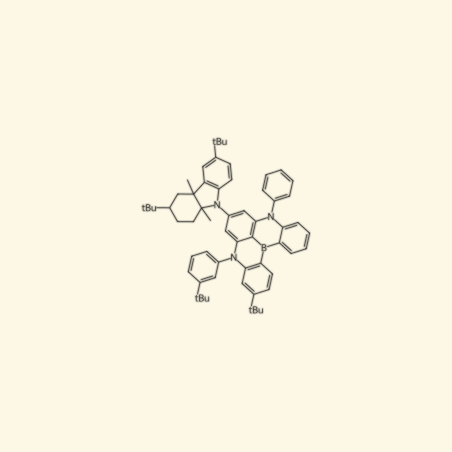 CC(C)(C)c1cccc(N2c3cc(C(C)(C)C)ccc3B3c4ccccc4N(c4ccccc4)c4cc(N5c6ccc(C(C)(C)C)cc6C6(C)CC(C(C)(C)C)CCC56C)cc2c43)c1